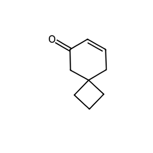 O=C1C=CCC2(CCC2)C1